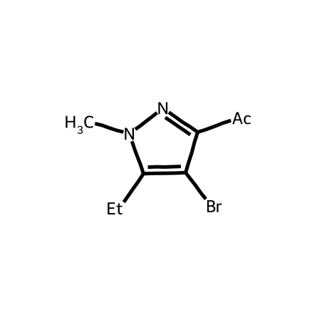 CCc1c(Br)c(C(C)=O)nn1C